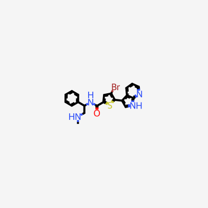 CNCC(NC(=O)c1cc(Br)c(-c2c[nH]c3ncccc23)s1)c1ccccc1